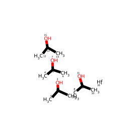 CC(C)O.CC(C)O.CC(C)O.CC(C)O.[Hf]